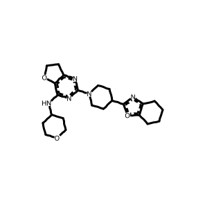 C1CCc2oc(C3CCN(c4nc5c(c(NC6CCOCC6)n4)OCC5)CC3)nc2C1